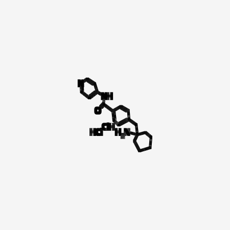 Cl.Cl.NC1(Cc2ccc(C(=O)Nc3ccncc3)cc2)CCCCC1